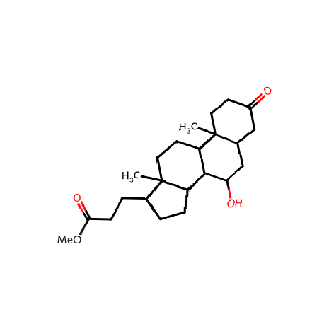 COC(=O)CCC1CCC2C3C(O)CC4CC(=O)CCC4(C)C3CCC12C